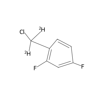 [2H]C([2H])(Cl)c1ccc(F)cc1F